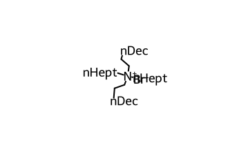 CCCCCCCCCCCC[N+](CCCCCCC)(CCCCCCC)CCCCCCCCCCCC.[Br-]